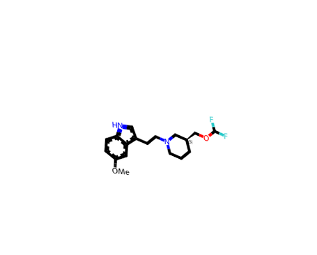 COc1ccc2[nH]cc(CCN3CCC[C@H](COC(F)F)C3)c2c1